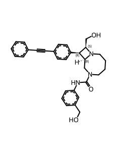 O=C(Nc1cccc(CO)c1)N1CCCCN2[C@H](CO)[C@H](c3ccc(C#Cc4ccccc4)cc3)[C@@H]2C1